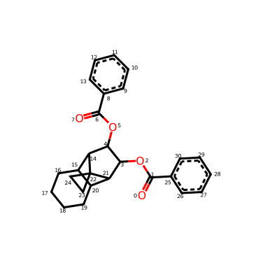 O=C(OC1C(OC(=O)c2ccccc2)C2C3CCCCC3C1C21CC1)c1ccccc1